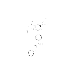 O=C(Nc1ccc(-c2nc(N3CCOCC3)cc(C3(S(=O)(=O)C4CC4)CC3)n2)cc1)Oc1ccccc1